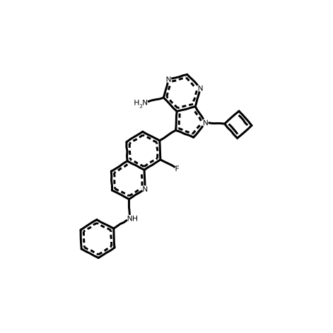 Nc1ncnc2c1c(-c1ccc3ccc(Nc4ccccc4)nc3c1F)cn2C1=CC=C1